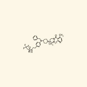 Cc1ccnc(C)c1C(=O)N1CCC(C)(N2CCC(N(Cc3ccccc3)c3ccc(CCNS(=O)(=O)CC(F)(F)F)cc3)CC2)CC1